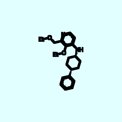 CCOCc1nccc(N[C@H]2CC[C@@H](c3ccccc3)CC2)c1OCC